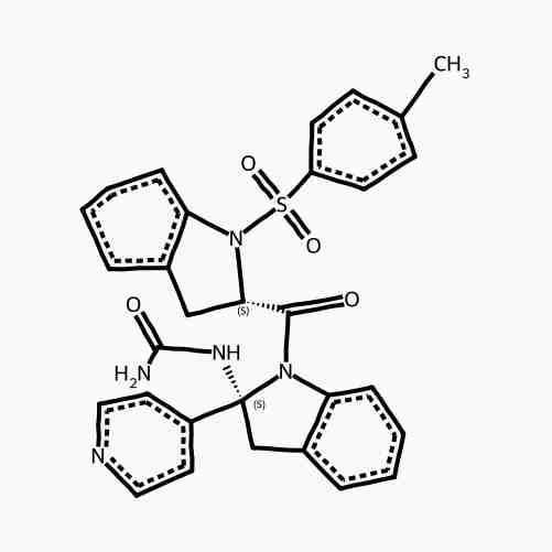 Cc1ccc(S(=O)(=O)N2c3ccccc3C[C@H]2C(=O)N2c3ccccc3C[C@@]2(NC(N)=O)c2ccncc2)cc1